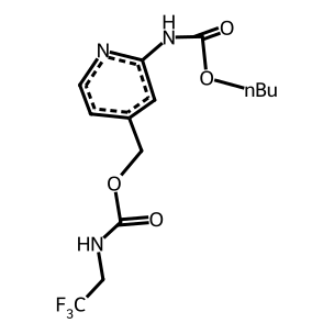 CCCCOC(=O)Nc1cc(COC(=O)NCC(F)(F)F)ccn1